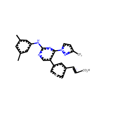 Cc1cc(C)cc(Nc2ncc(-c3cccc(/C=C/C(=O)O)c3)c(-n3ccc(C(F)(F)F)n3)n2)c1